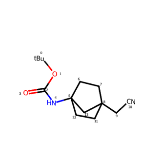 CC(C)(C)OC(=O)NC12CCC(CC#N)(CC1)C2